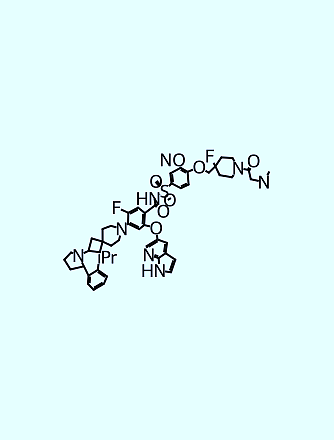 CC(C)c1ccccc1C1CCCN1C1CC2(CCN(c3cc(Oc4cnc5[nH]ccc5c4)c(C(=O)NS(=O)(=O)c4ccc(OCC5(F)CCN(C(=O)CN(C)C)CC5)c(N=O)c4)cc3F)CC2)C1